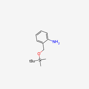 CC(C)(C)[Si](C)(C)OCc1ccccc1N